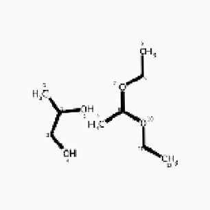 CC(O)CO.CCOC(C)OCC